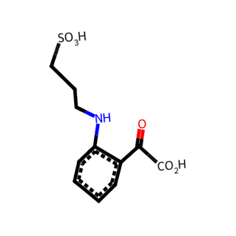 O=C(O)C(=O)c1ccccc1NCCCS(=O)(=O)O